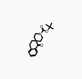 CC(C)(C)OC(=O)N1CCC2(CCc3ccccc3C2=O)CC1